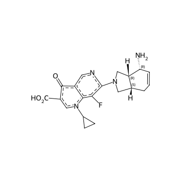 N[C@@H]1C=CC[C@@H]2CN(c3ncc4c(=O)c(C(=O)O)cn(C5CC5)c4c3F)C[C@@H]21